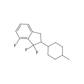 CC1CCC(C2Cc3cccc(F)c3C2(F)F)CC1